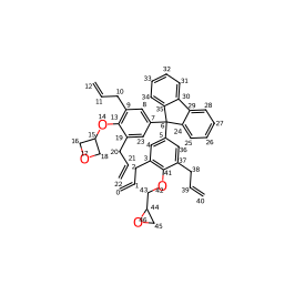 C=CCc1cc(C2(c3cc(CC=C)c(OC4COC4)c(CC=C)c3)c3ccccc3-c3ccccc32)cc(CC=C)c1OCC1CO1